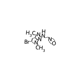 CCN1CC(Br)=Cc2c(C)nc(NCCN3CCOCC3)nc21